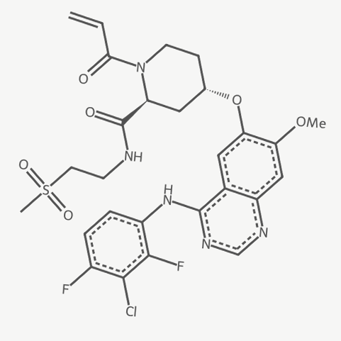 C=CC(=O)N1CC[C@H](Oc2cc3c(Nc4ccc(F)c(Cl)c4F)ncnc3cc2OC)C[C@H]1C(=O)NCCS(C)(=O)=O